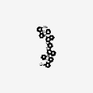 CC(C)(C)c1cccc2c1oc1c(N(c3ccccc3)c3cc4sc5c(ccc6c5sc5cc(N(c7ccccc7)c7cccc8c7oc7c(C(C)(C)C)cccc78)c7ccccc7c56)c4c4ccccc34)cccc12